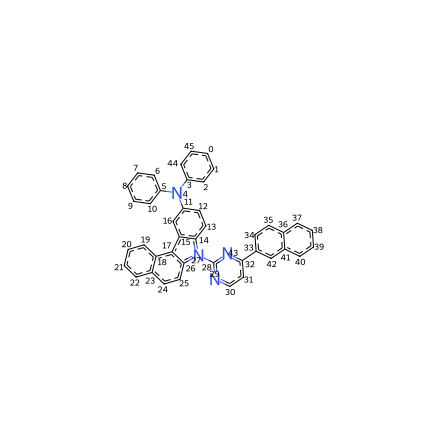 c1ccc(N(c2ccccc2)c2ccc3c(c2)c2c4ccccc4ccc2n3-c2nccc(-c3ccc4ccccc4c3)n2)cc1